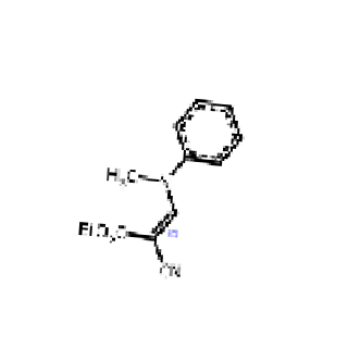 CCOC(=O)/C(C#N)=C\N(C)c1ccccc1